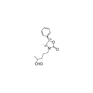 CC(C=O)CCCN1C(=O)O[C@H](c2ccccc2)[C@H]1C